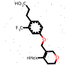 CCCCCCC1=C(COc2ccc(CCC(=O)O)c(C(F)(F)F)c2)COCC1